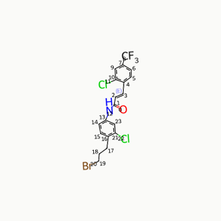 O=C(/C=C/c1ccc(C(F)(F)F)cc1Cl)Nc1ccc(CCCBr)c(Cl)c1